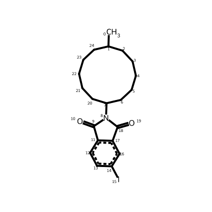 CC1CCCCCC(N2C(=O)c3ccc(I)cc3C2=O)CCCCC1